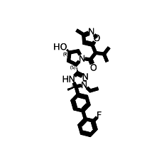 CCN1N=C([C@@H]2C[C@@H](O)CN2C(=O)C(c2cc(C)no2)C(C)C)N[C@@]1(C)c1ccc(-c2ccccc2F)cc1